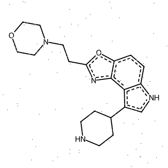 c1[nH]c2ccc3oc(CCN4CCOCC4)nc3c2c1C1CCNCC1